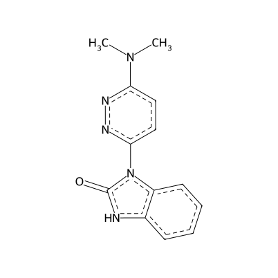 CN(C)c1ccc(-n2c(=O)[nH]c3ccccc32)nn1